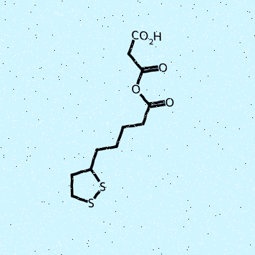 O=C(O)CC(=O)OC(=O)CCCCC1CCSS1